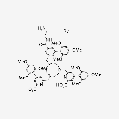 COc1cc(OC)c(-c2cc(CN3CCN(Cc4cc(-c5c(OC)cc(OC)cc5OC)cc(C(=O)O)n4)CCN(Cc4cc(-c5c(OC)cc(OC)cc5OC)cc(C(=O)NCCN)n4)CC3)nc(C(=O)O)c2)c(OC)c1.[Dy]